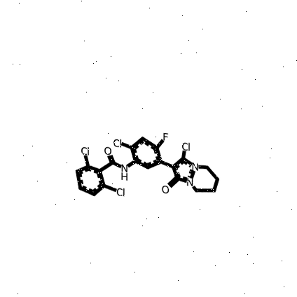 O=C(Nc1cc(-c2c(Cl)n3n(c2=O)CCCC3)c(F)cc1Cl)c1c(Cl)cccc1Cl